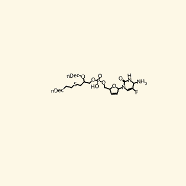 CCCCCCCCCCCCSCC(COP(=O)(O)OCC1C=CC(N2C=C(F)C(N)NC2=O)O1)OCCCCCCCCCC